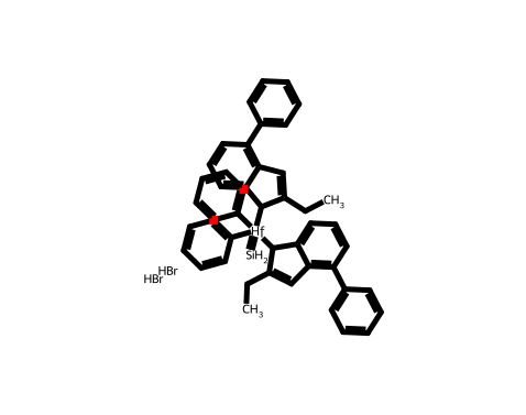 Br.Br.CCC1=Cc2c(-c3ccccc3)cccc2[CH]1[Hf](=[SiH2])([c]1ccccc1)([c]1ccccc1)[CH]1C(CC)=Cc2c(-c3ccccc3)cccc21